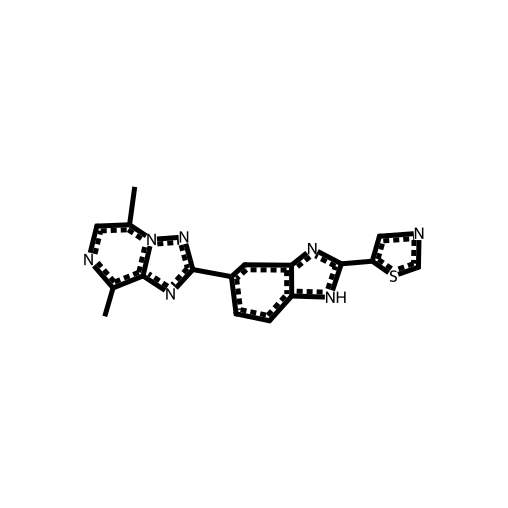 Cc1ncc(C)n2nc(-c3ccc4[nH]c(-c5cncs5)nc4c3)nc12